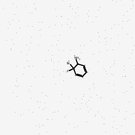 NC1C=CC=CC1(F)Br